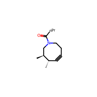 CCCC(=O)N1CCC#C[C@H](C)[C@@H](C)C1